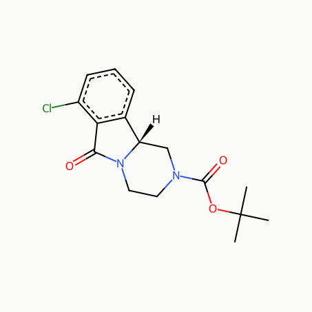 CC(C)(C)OC(=O)N1CCN2C(=O)c3c(Cl)cccc3[C@@H]2C1